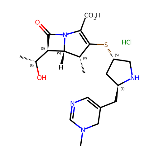 C[C@@H](O)[C@H]1C(=O)N2C(C(=O)O)=C(S[C@@H]3CN[C@@H](CC4=CN=CN(C)C4)C3)[C@H](C)[C@H]12.Cl